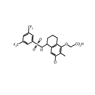 Cc1c(Cl)cc2c(c1OCC(=O)O)CCCC2NS(=O)(=O)c1cc(C(F)(F)F)cc(C(F)(F)F)c1